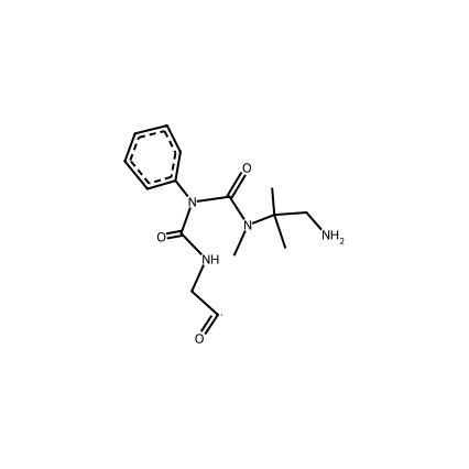 CN(C(=O)N(C(=O)NC[C]=O)c1ccccc1)C(C)(C)CN